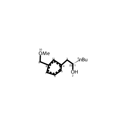 CCCC[C@H](O)Cc1cccc(COC)c1